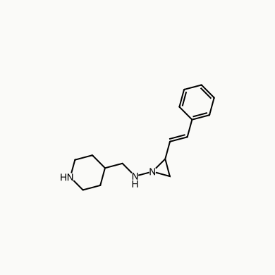 C(=C\C1CN1NCC1CCNCC1)/c1ccccc1